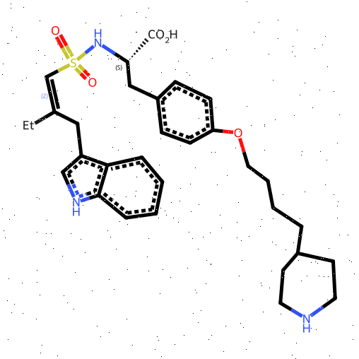 CC/C(=C/S(=O)(=O)N[C@@H](Cc1ccc(OCCCCC2CCNCC2)cc1)C(=O)O)Cc1c[nH]c2ccccc12